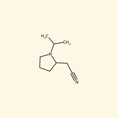 CC(C)N1CCCC1CC#N